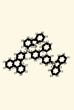 c1ccc(-c2cc(N(c3ccc4c5ccccc5c5ccccc5c4c3)c3cccc4c3sc3ccccc34)ccc2-c2ccc(-n3c4ccccc4c4ccccc43)cc2)cc1